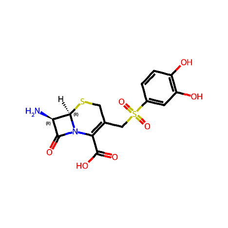 N[C@@H]1C(=O)N2C(C(=O)O)=C(CS(=O)(=O)c3ccc(O)c(O)c3)CS[C@H]12